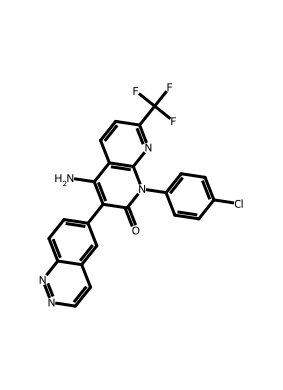 Nc1c(-c2ccc3nnccc3c2)c(=O)n(-c2ccc(Cl)cc2)c2nc(C(F)(F)F)ccc12